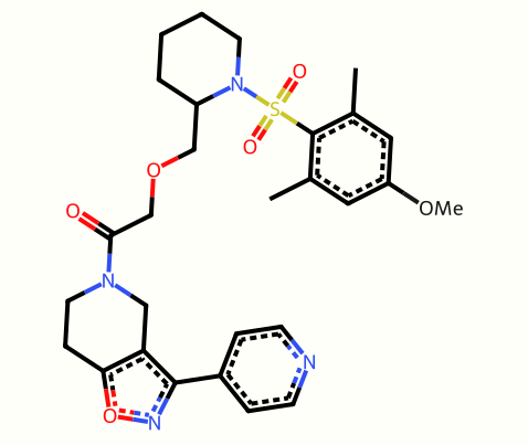 COc1cc(C)c(S(=O)(=O)N2CCCCC2COCC(=O)N2CCc3onc(-c4ccncc4)c3C2)c(C)c1